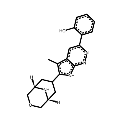 Cc1c(C2C[C@H]3COC[C@@H](C2)N3)[nH]c2nnc(-c3ccccc3O)cc12